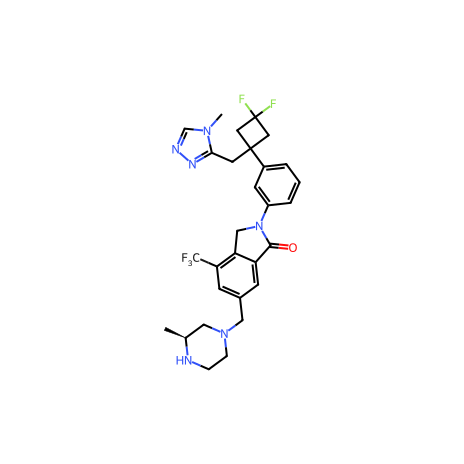 C[C@H]1CN(Cc2cc3c(c(C(F)(F)F)c2)CN(c2cccc(C4(Cc5nncn5C)CC(F)(F)C4)c2)C3=O)CCN1